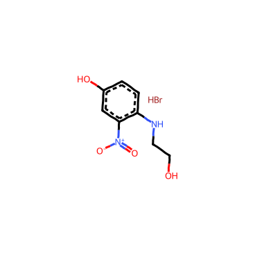 Br.O=[N+]([O-])c1cc(O)ccc1NCCO